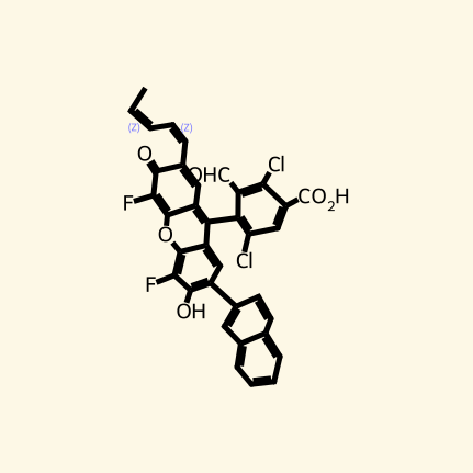 C/C=C\C=C/c1cc2c(-c3c(Cl)cc(C(=O)O)c(Cl)c3C=O)c3cc(-c4ccc5ccccc5c4)c(O)c(F)c3oc-2c(F)c1=O